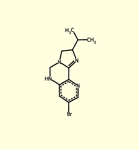 CC(C)C1CN2CNc3cc(Br)cnc3C2=N1